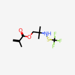 C=C(C)C(=O)OCC(C)(C)NSC(F)(F)F